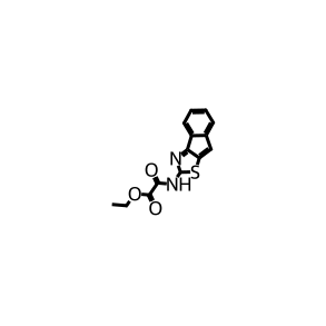 CCOC(=O)C(=O)NC1N=C2C(=Cc3ccccc32)S1